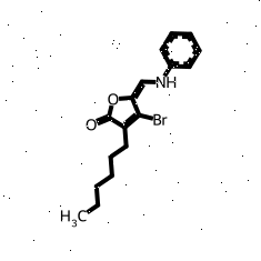 CCCCCCC1=C(Br)/C(=C\Nc2ccccc2)OC1=O